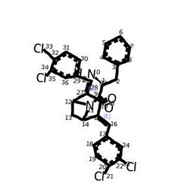 N[C@@H](Cc1ccccc1)C(=O)N1C2CC1/C(=C\c1ccc(Cl)c(Cl)c1)C(=O)/C2=C/c1ccc(Cl)c(Cl)c1